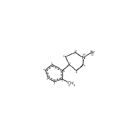 Cc1ccccc1C1CCN(Br)CC1